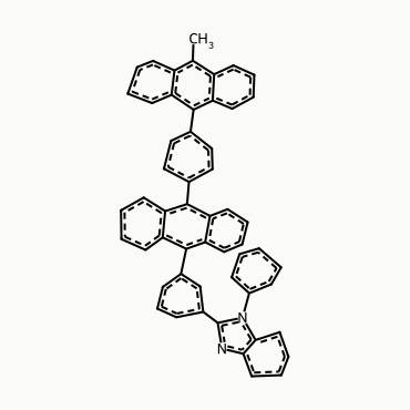 Cc1c2ccccc2c(-c2ccc(-c3c4ccccc4c(-c4cccc(-c5nc6ccccc6n5-c5ccccc5)c4)c4ccccc34)cc2)c2ccccc12